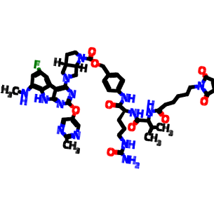 CNc1cc(F)cc2c1[nH]c1nc(Oc3cnc(C)nc3)nc(N3C[C@@H]4CCN(C(=O)OCc5ccc(NC(=O)[C@H](CCCNC(N)=O)NC(=O)C(NC(=O)CCCCCN6C(=O)C=CC6=O)C(C)C)cc5)[C@@H]4C3)c12